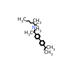 C/C=C(\C)c1ccc(-c2ccc(/C(C)=C/N=C(\C)[C@@H](C)CCCC)cc2)cc1